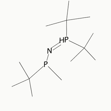 CP(N=[PH](C(C)(C)C)C(C)(C)C)C(C)(C)C